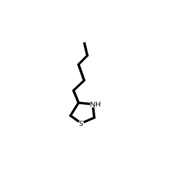 CCCCCC1CSCN1